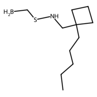 BCSNCC1(CCCCC)CCC1